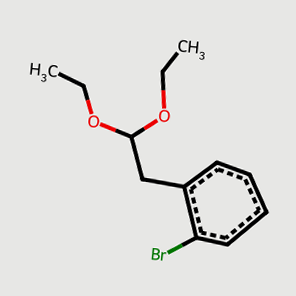 CCOC(Cc1ccccc1Br)OCC